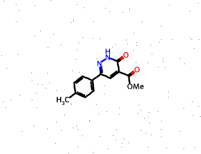 COC(=O)c1cc(-c2ccc(C)cc2)n[nH]c1=O